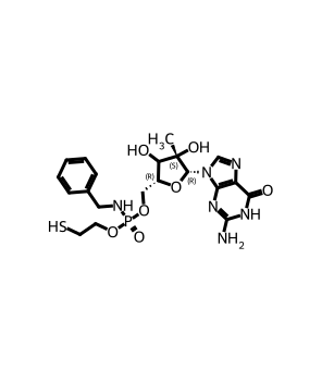 C[C@]1(O)C(O)[C@@H](COP(=O)(NCc2ccccc2)OCCS)O[C@H]1n1cnc2c(=O)[nH]c(N)nc21